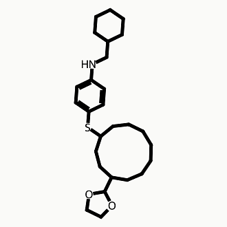 c1cc(SC2CCCCCCCC(C3OCCO3)CC2)ccc1NCC1CCCCC1